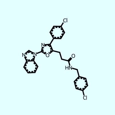 O=C(CCc1oc(-n2cnc3ccccc32)nc1-c1ccc(Cl)cc1)NCc1ccc(Cl)cc1